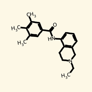 CCN1CCc2c(cccc2NC(=O)c2cc(C)c(C)c(C)c2)C1